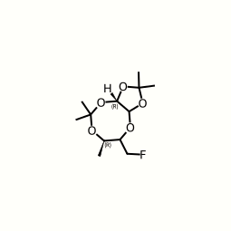 C[C@H]1OC(C)(C)O[C@@H]2OC(C)(C)OC2OC1CF